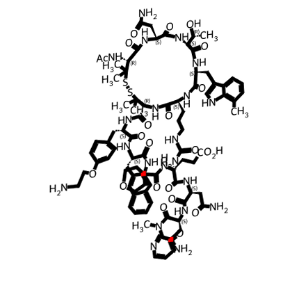 CC(=O)N[C@@H]1C(=O)N[C@@H](CC(N)=O)C(=O)N[C@@H]([C@@H](C)O)C(=O)N[C@@H](Cc2c[nH]c3c(C)cccc23)C(=O)N[C@@H](CCCNC(N)=O)C(=O)N[C@H](C(=O)N[C@@H](Cc2ccc(OCCN)cc2)C(=O)N[C@@H](Cc2ccc3ccccc3c2)C(=O)NC2(C(=O)N[C@@H](CCC(=O)O)C(=O)N[C@@H](CC(N)=O)C(=O)N[C@@H](Cc3cccnc3)C(=O)N(C)CC(N)=O)CCOCC2)C(C)(C)SSC1(C)C